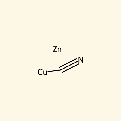 N#[C][Cu].[Zn]